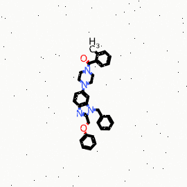 Cc1ccccc1C(=O)N1CCN(c2ccc3nc(COc4ccccc4)n(Cc4ccccc4)c3c2)CC1